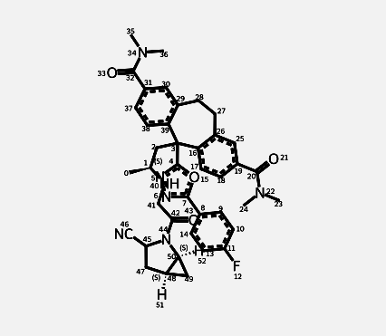 C[C@@H](CC1(c2nnc(-c3ccc(F)cc3)o2)c2ccc(C(=O)N(C)C)cc2CCc2cc(C(=O)N(C)C)ccc21)NCC(=O)N1C(C#N)C[C@@H]2C[C@@H]21